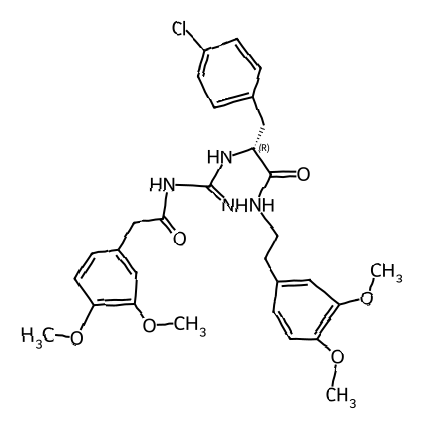 COc1ccc(CCNC(=O)[C@@H](Cc2ccc(Cl)cc2)NC(=N)NC(=O)Cc2ccc(OC)c(OC)c2)cc1OC